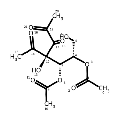 CC(=O)O[C@@H](CO)[C@H](OC(C)=O)[C@](O)(C(C)=O)C(=O)C(C)=O